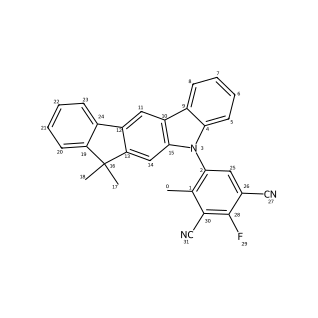 Cc1c(-n2c3ccccc3c3cc4c(cc32)C(C)(C)c2ccccc2-4)cc(C#N)c(F)c1C#N